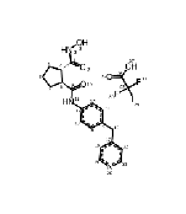 O=C(NO)[C@H]1CCC[C@@H]1C(=O)Nc1ccc(Cc2ccncc2)cc1.O=C(O)C(F)(F)F